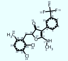 CNC1=C(c2cccc(C(F)(F)F)c2)C(=O)C(Cc2c(C)ccc(Cl)c2Cl)O1